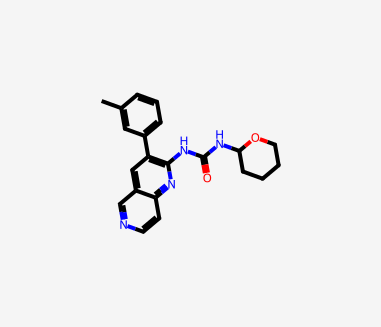 Cc1cccc(-c2cc3cnccc3nc2NC(=O)NC2CCCCO2)c1